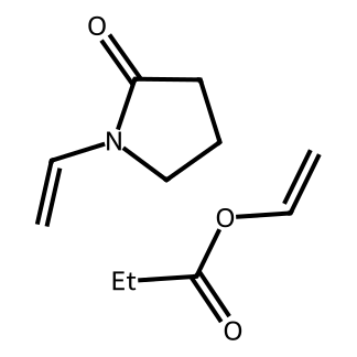 C=CN1CCCC1=O.C=COC(=O)CC